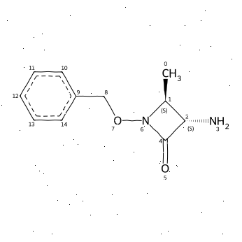 C[C@H]1[C@H](N)C(=O)N1OCc1ccccc1